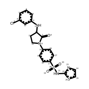 O=C1C(Nc2cccc(Cl)c2)CCN1c1ccc(S(=O)(=O)Nc2nccs2)cc1